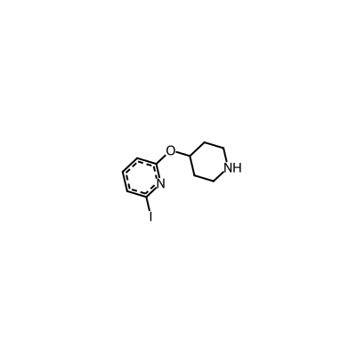 Ic1cccc(OC2CCNCC2)n1